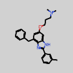 Cc1cccc(-c2nc3c(Cc4ccccc4)cc(OCCCN(C)C)cc3[nH]2)c1